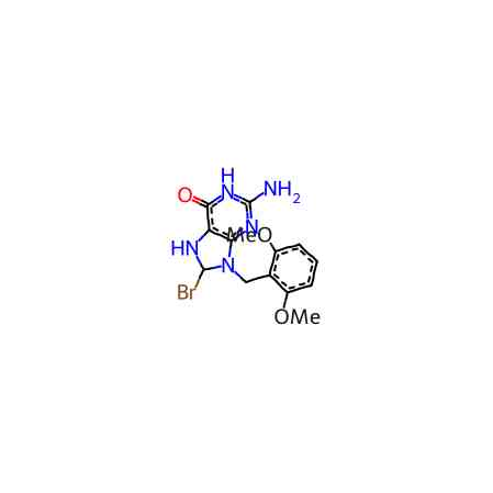 COc1cccc(OC)c1CN1c2nc(N)[nH]c(=O)c2NC1Br